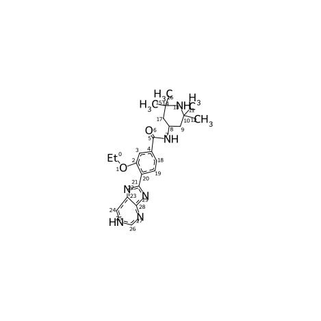 CCOc1cc(C(=O)NC2CC(C)(C)NC(C)(C)C2)ccc1-c1nc2c[nH]cnc-2n1